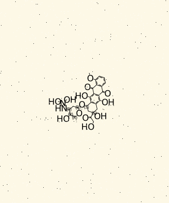 COc1cccc2c1C(=O)c1c(O)c3c(c(O)c1C2=O)C[C@@](O)(C(=O)CO)C[C@@H]3O[C@H]1C[C@@H](NN(O)O)[C@@H](O)[C@@H](C)O1